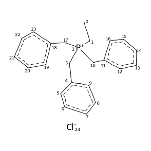 CC[P+](Cc1ccccc1)(Cc1ccccc1)Cc1ccccc1.[Cl-]